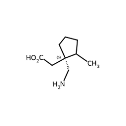 CC1CCC[C@]1(CN)CC(=O)O